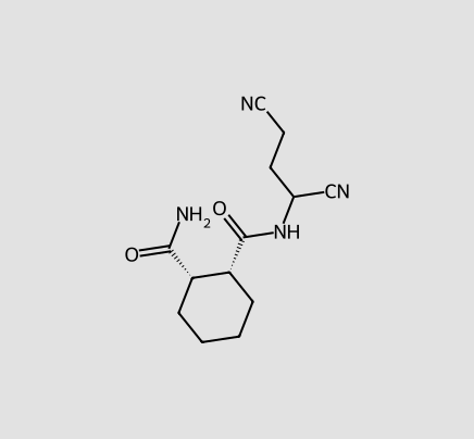 N#CCCC(C#N)NC(=O)[C@@H]1CCCC[C@@H]1C(N)=O